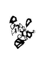 O=C(NC1C(=O)N(CC23CC4CC(CC(C4)C2)C3)c2ccc(F)cc2N(c2ccccc2)C1=O)Oc1ccccc1